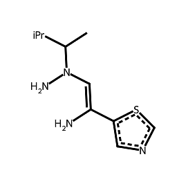 CC(C)C(C)N(N)/C=C(\N)c1cncs1